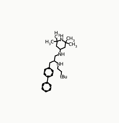 CC(C)(C)CCNC(CNC1CC(C)(C)NC(C)(C)C1)Cc1ccc(-c2ccccc2)cc1